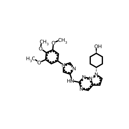 COc1cc(-n2cnc(Nc3ncc4ccn([C@H]5CC[C@H](O)CC5)[n+]4n3)c2)cc(OC)c1OC